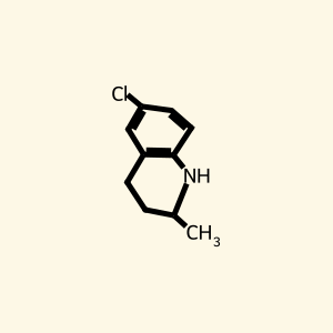 CC1CCc2cc(Cl)ccc2N1